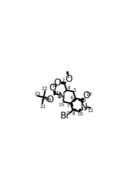 COC(=O)C1Cc2c(c(Br)cn(C)c2=O)CN1C(=O)OC(C)(C)C